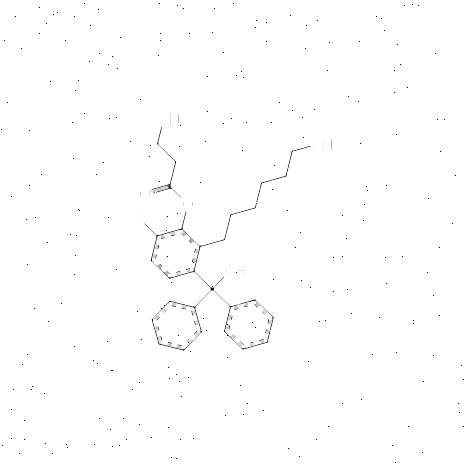 CCCCCCCc1c(C(C)(c2ccccc2)c2ccccc2)ccc(S)c1OC(=O)CCC